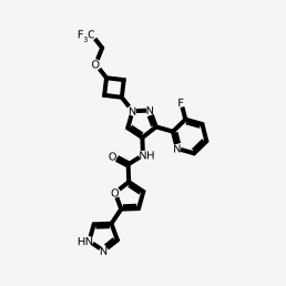 O=C(Nc1cn(C2CC(OCC(F)(F)F)C2)nc1-c1ncccc1F)c1ccc(-c2cn[nH]c2)o1